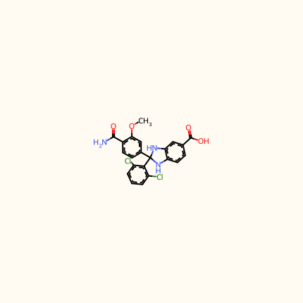 COc1cc(C2(c3c(Cl)cccc3Cl)Nc3ccc(C(=O)O)cc3N2)ccc1C(N)=O